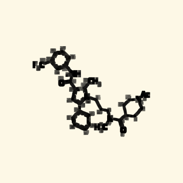 CC(=O)N1CCC(C(=O)N(C)CCCn2c(-c3ccccc3)cc(C(=O)Nc3cccc(C(F)(F)F)c3)c2C)CC1